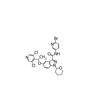 CC(Oc1ccc2c(c1)c(C(=O)Nc1ccc(Br)nc1)nn2C1CCCCO1)c1c(Cl)cncc1Cl